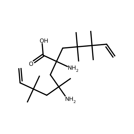 C=CC(C)(C)CC(C)(N)CC(N)(CC(C)(C)C(C)(C)C=C)C(=O)O